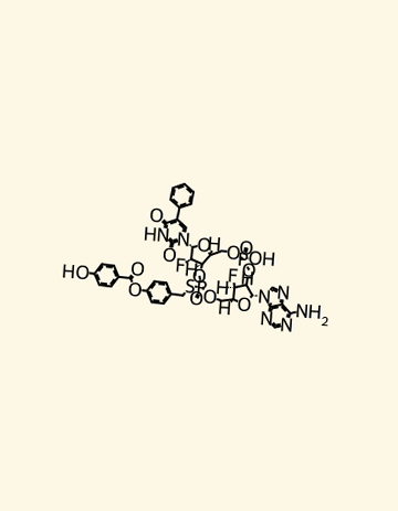 Nc1ncnc2c1ncn2[C@@H]1O[C@@H]2COP(=O)(SCc3ccc(OC(=O)c4ccc(O)cc4)cc3)O[C@H]3[C@@H](F)[C@H](n4cc(-c5ccccc5)c(=O)[nH]c4=O)O[C@@H]3COP(=O)(O)O[C@@H]1[C@@H]2F